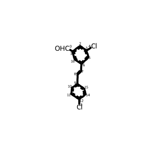 O=Cc1cc(Cl)cc(/C=C/c2ccc(Cl)cc2)c1